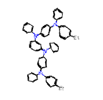 CCc1ccc(N(c2ccccc2)c2ccc(N(c3ccccc3)c3cccc(N(c4ccccc4)c4ccc(N(c5ccccc5)c5ccc(CC)cc5)cc4)c3)cc2)cc1